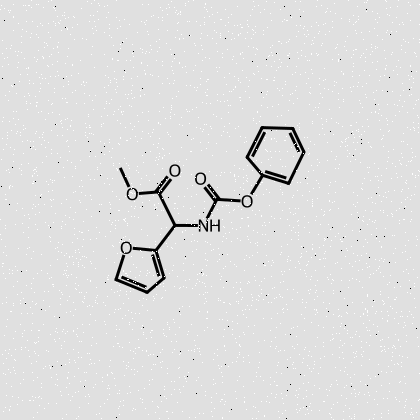 COC(=O)C(NC(=O)Oc1ccccc1)c1ccco1